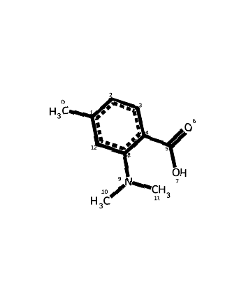 Cc1ccc(C(=O)O)c(N(C)C)c1